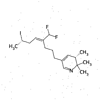 C[C@H](I)C/C=C(\CCCC1=C[C@H](C)C(C)(C)N=C1)C(F)F